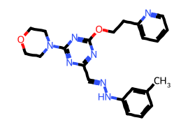 Cc1cccc(NN=Cc2nc(OCCc3ccccn3)nc(N3CCOCC3)n2)c1